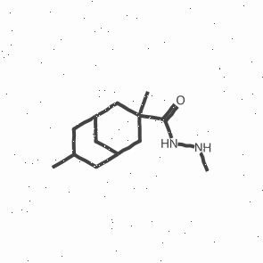 CNNC(=O)C1(C)CC2CC(C)CC(C2)C1